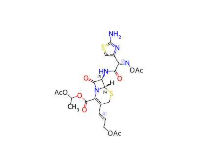 CC(=O)OC/C=C/C1=C(C(=O)OC(C)OC(C)=O)N2C(=O)[C@@H](NC(=O)/C(=N\OC(C)=O)c3csc(N)n3)[C@@H]2SC1